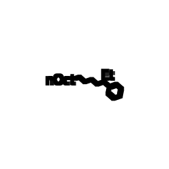 [CH2]CCCCCCCCCCCC(CC)c1ccccc1